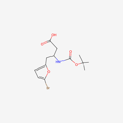 CC(C)(C)OC(=O)NC(CC(=O)O)Cc1ccc(Br)o1